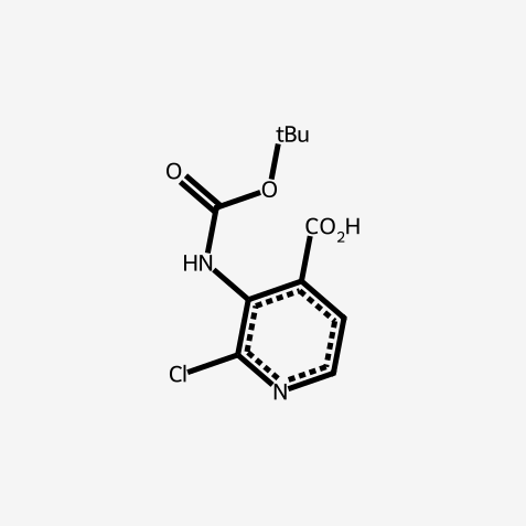 CC(C)(C)OC(=O)Nc1c(C(=O)O)ccnc1Cl